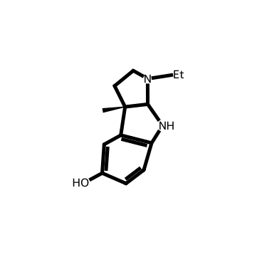 CCN1CC[C@@]2(C)c3cc(O)ccc3NC12